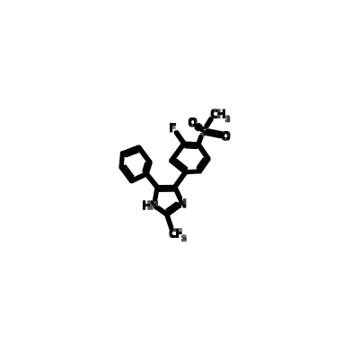 CS(=O)(=O)c1ccc(-c2nc(C(F)(F)F)[nH]c2-c2ccccc2)cc1F